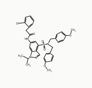 COc1ccc(CN(Cc2ccc(OC)cc2)S(=O)(=O)c2cc(NC(=O)Cc3ccccc3Cl)cc3c2cnn3C(C)C)cc1